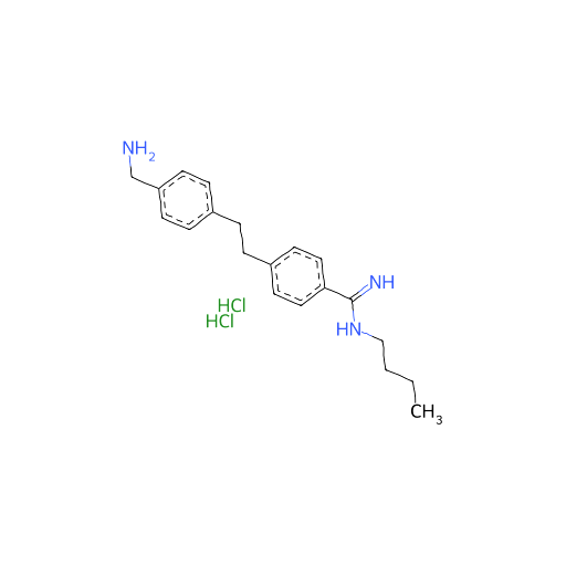 CCCCNC(=N)c1ccc(CCc2ccc(CN)cc2)cc1.Cl.Cl